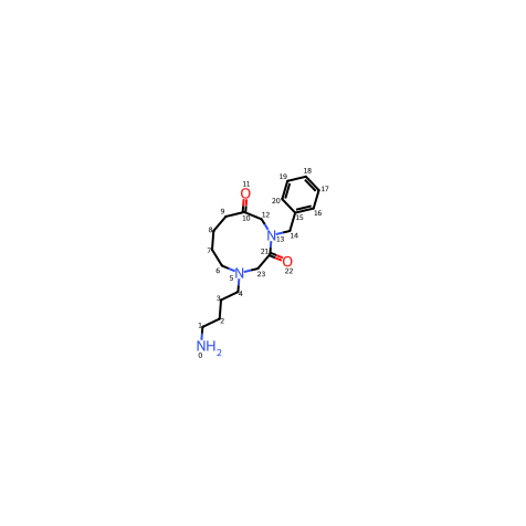 NCCCCN1CCCCC(=O)CN(Cc2ccccc2)C(=O)C1